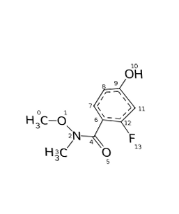 CON(C)C(=O)c1ccc(O)cc1F